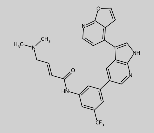 CN(C)CC=CC(=O)Nc1cc(-c2cnc3[nH]cc(-c4ccnc5occc45)c3c2)cc(C(F)(F)F)c1